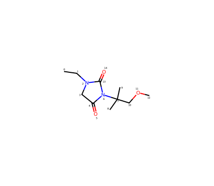 CCN1CC(=O)N(C(C)(C)COC)C1=O